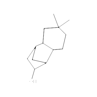 CC1(C)CCC2C3CC(CC3O)C2C1